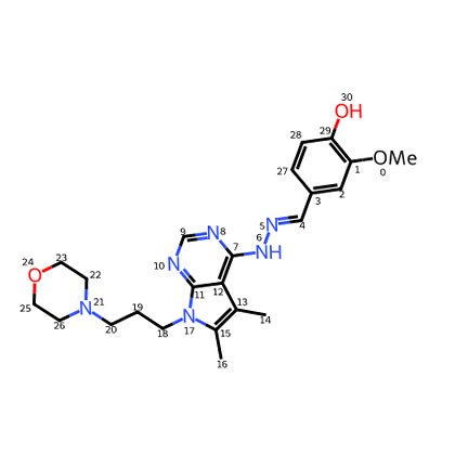 COc1cc(C=NNc2ncnc3c2c(C)c(C)n3CCCN2CCOCC2)ccc1O